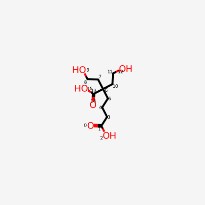 O=C(O)CCCC(CCO)(CCO)C(=O)O